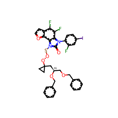 O=c1n(SOOC2(C[C@@H](COCc3ccccc3)OCc3ccccc3)CC2)c2c3occc3c(F)c(F)c2n1-c1ccc(I)cc1F